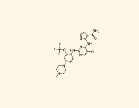 CN1CCN(c2ccc(Nc3ncc(Cl)c(Nc4sccc4C(N)=O)n3)c(OC(F)(F)F)c2)CC1